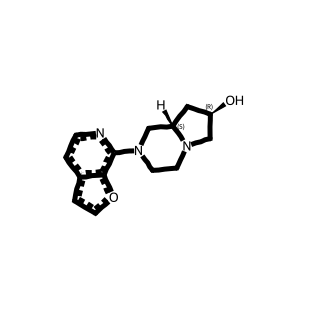 O[C@@H]1C[C@H]2CN(c3nccc4ccoc34)CCN2C1